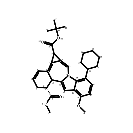 COC(=O)[C@@H]1CC=CC2=C3C(=Cn4c(cc5c(OC)ccc(C6CCCCC6)c54)C21)C3C(=O)OC(C)(C)C